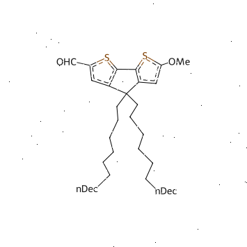 CCCCCCCCCCCCCCCCC1(CCCCCCCCCCCCCCCC)c2cc(C=O)sc2-c2sc(OC)cc21